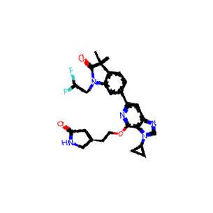 CC1(C)C(=O)N(CC(F)F)c2cc(-c3cc4ncn(C5CC5)c4c(OCC[C@H]4CNC(=O)C4)n3)ccc21